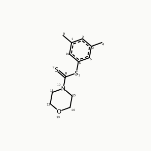 Cc1cc(C)cc(SC(=S)N2CCOCC2)c1